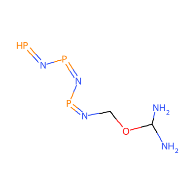 NC(N)OC/N=P\N=P/N=P